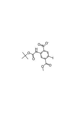 COC(=O)c1cc(NC(=O)OC(C)(C)C)c([N+](=O)[O-])cc1I